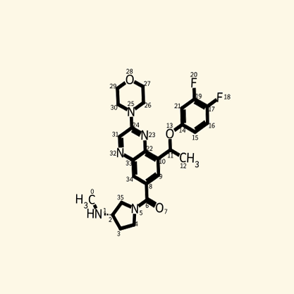 CN[C@H]1CCN(C(=O)c2cc(C(C)Oc3ccc(F)c(F)c3)c3nc(N4CCOCC4)cnc3c2)C1